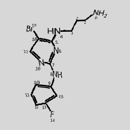 NCCCNc1nc(Nc2cccc(F)c2)ncc1Br